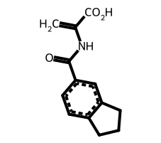 C=C(NC(=O)c1ccc2c(c1)CCC2)C(=O)O